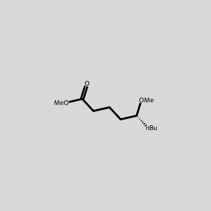 CCCC[C@H](CCCC(=O)OC)OC